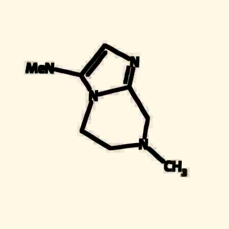 CNc1cnc2n1CCN(C)C2